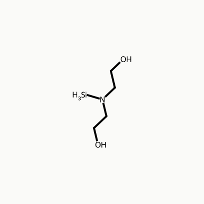 OCCN([SiH3])CCO